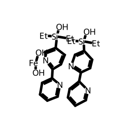 CC[Si](O)(CC)c1ccc(-c2ccccn2)nc1.CC[Si](O)(CC)c1ccc(-c2ccccn2)nc1.[OH][Fe][OH]